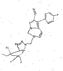 CCC(O)(c1cn(CN2C=Cc3c(-c4ccc(F)cc4)c(C#N)nn3C2)nn1)C(F)(F)F